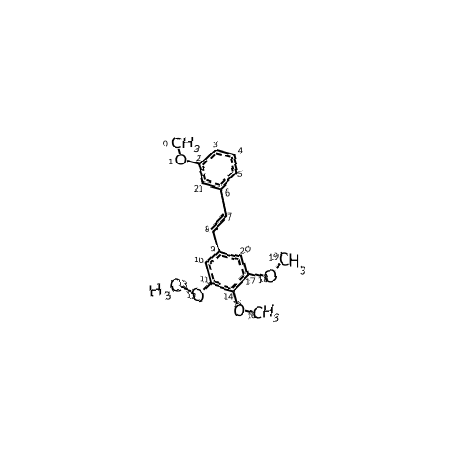 COc1cccc(C=Cc2cc(OC)c(OC)c(OC)c2)c1